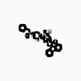 C[C@@H]1CN(C(=O)Cc2ccccc2)CCN1CCCCC1(C(=O)NCC(F)(F)F)c2ccccc2-c2ccccc21